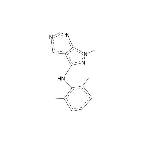 Cc1cccc(C)c1Nc1nn(C)c2ncncc12